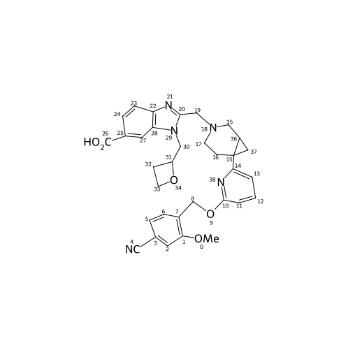 COc1cc(C#N)ccc1COc1cccc(C23CCN(Cc4nc5ccc(C(=O)O)cc5n4CC4CCO4)CC2C3)n1